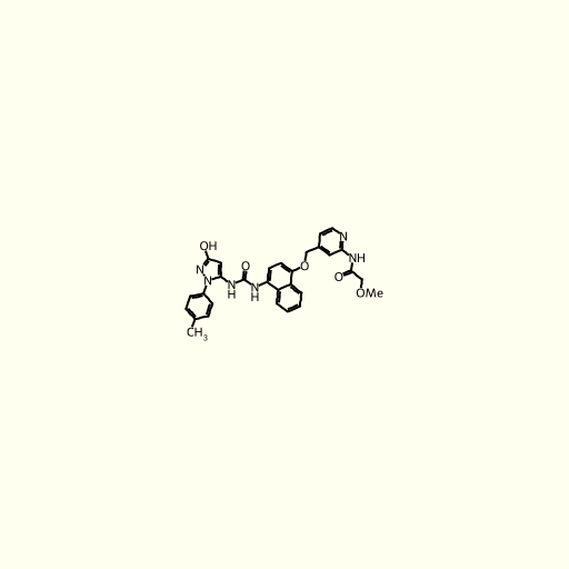 COCC(=O)Nc1cc(COc2ccc(NC(=O)Nc3cc(O)nn3-c3ccc(C)cc3)c3ccccc23)ccn1